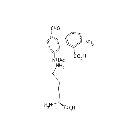 CC(=O)Nc1ccc(C=O)cc1.N.NCCCC[C@H](N)C(=O)O.O=C(O)c1ccccc1